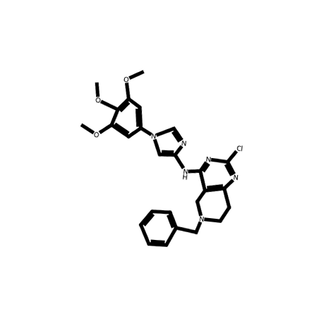 COc1cc(-n2cnc(Nc3nc(Cl)nc4c3CN(Cc3ccccc3)CC4)c2)cc(OC)c1OC